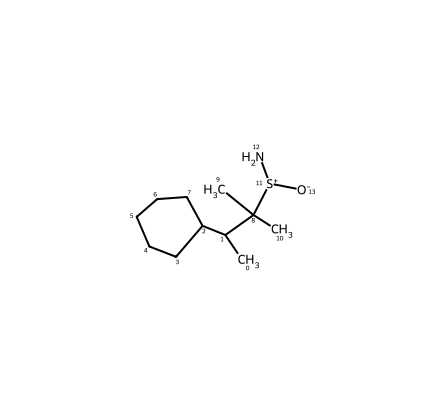 CC(C1CCCCC1)C(C)(C)[S+](N)[O-]